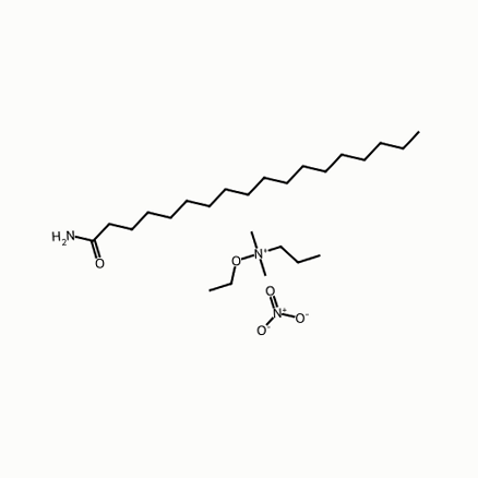 CCCCCCCCCCCCCCCCCC(N)=O.CCC[N+](C)(C)OCC.O=[N+]([O-])[O-]